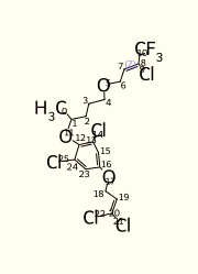 CC(CCCOC/C=C(\Cl)C(F)(F)F)Oc1c(Cl)cc(OCC=C(Cl)Cl)cc1Cl